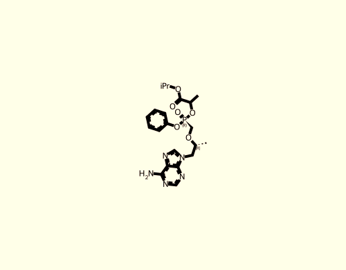 CC(C)OC(=O)C(C)O[P@](=O)(CO[C@H](C)Cn1cnc2c(N)ncnc21)Oc1ccccc1